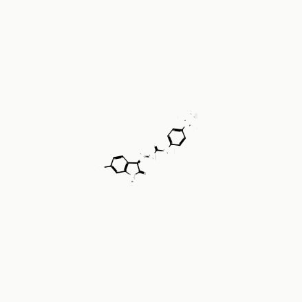 CCN1C(=O)C(=NNC(=S)Nc2ccc(S(N)(=O)=O)cc2)c2ccc(Br)cc21